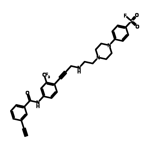 C#Cc1cccc(C(=O)Nc2ccc(C#CCNCCN3CCN(c4ccc(S(=O)(=O)F)cc4)CC3)c(C(F)(F)F)c2)c1